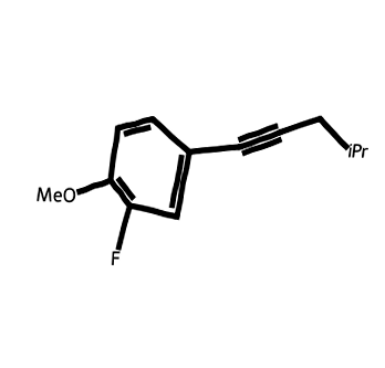 COc1ccc(C#CCC(C)C)cc1F